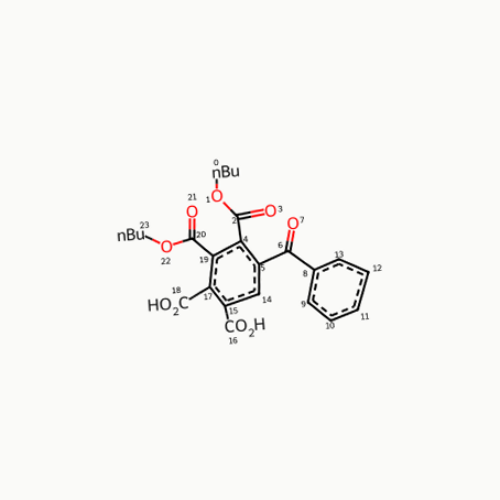 CCCCOC(=O)c1c(C(=O)c2ccccc2)cc(C(=O)O)c(C(=O)O)c1C(=O)OCCCC